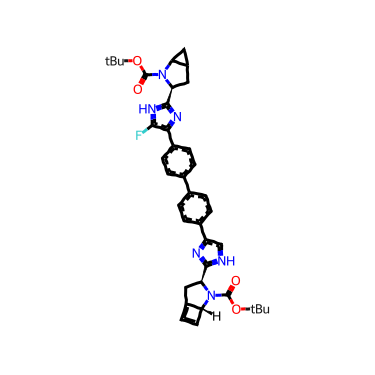 CC(C)(C)OC(=O)N1C2CC2C[C@H]1c1nc(-c2ccc(-c3ccc(-c4c[nH]c([C@@H]5CC6=C=C[C@H]6N5C(=O)OC(C)(C)C)n4)cc3)cc2)c(F)[nH]1